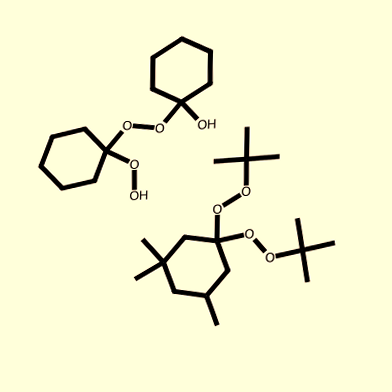 CC1CC(C)(C)CC(OOC(C)(C)C)(OOC(C)(C)C)C1.OOC1(OOC2(O)CCCCC2)CCCCC1